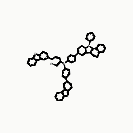 CC/C=C(\C=C/Cc1ccc2oc3ccccc3c2c1)N(c1ccc(C2=CCC3C(=C2)c2ccc4ccccc4c2N3c2ccccc2)cc1)c1ccc(-c2ccc3oc4ccccc4c3c2)cc1